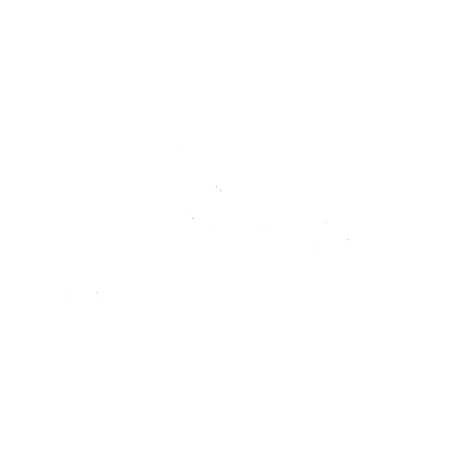 C=N/C=C\C=C(/C)c1ccc(-c2cc(-c3ccc(-c4ccc5c(c4)C(C)(C)c4ccccc4-5)cc3)nc(-c3cccc(-c4ccccc4)c3)n2)cc1